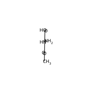 CCCCCCCCCCCCOC(=O)CCCCCCCCCCCCCCCNC(CN)CCCCCCCCCCCCCCCC(=O)O